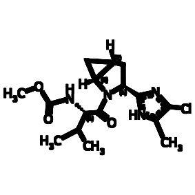 COC(=O)N[C@H](C(=O)N1[C@@H]2C[C@@H]2C[C@H]1c1nc(Cl)c(C)[nH]1)C(C)C